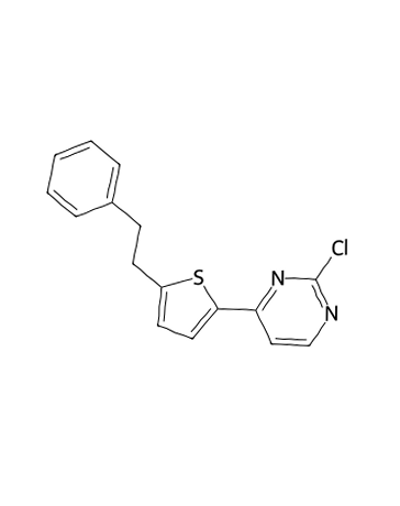 Clc1nccc(-c2ccc(CCc3ccccc3)s2)n1